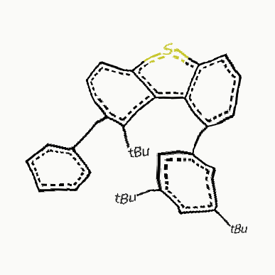 CC(C)(C)c1cc(-c2cccc3sc4ccc(-c5ccccc5)c(C(C)(C)C)c4c23)cc(C(C)(C)C)c1